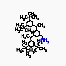 C[C@H](c1[c]c([C@@H](C)c2cc(C(C)(C)C)cc(C(C)(C)C)c2)cc(CN)c1)c1cc(C(C)(C)C)cc(C(C)(C)C)c1